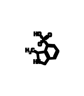 CC1NCc2cccc(S(=O)(=O)O)c21